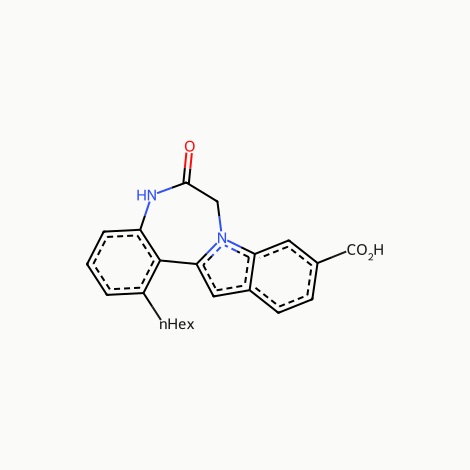 CCCCCCc1cccc2c1-c1cc3ccc(C(=O)O)cc3n1CC(=O)N2